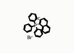 CC(=O)c1ccc2ccccc2c1[P+](c1ccccc1)(c1ccccc1)c1ccccc1.[Br-]